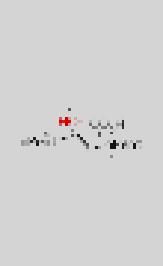 CCCCCC=CCCCCC.O=C(O)O